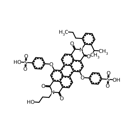 CCCc1cccc(C(C)C)c1N1C(=O)c2ccc3c4c(Oc5ccc(S(=O)(=O)O)cc5)cc5c6c(ccc(c7c(Oc8ccc(S(=O)(=O)O)cc8)cc(c2c37)C1=O)c64)C(=O)N(CCCO)C5=O